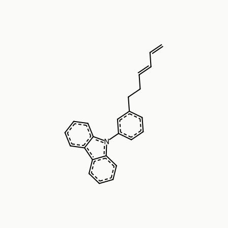 C=C/C=C/CCc1cccc(-n2c3ccccc3c3ccccc32)c1